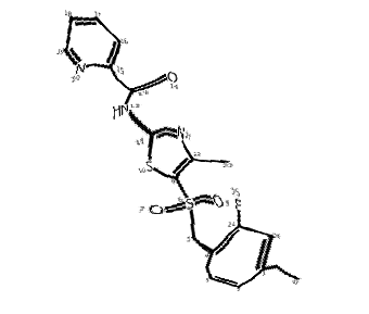 Cc1ccc(CS(=O)(=O)c2sc(NC(=O)c3ccccn3)nc2C)c(F)c1